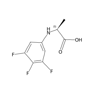 C[C@H](Nc1cc(F)c(F)c(F)c1)C(=O)O